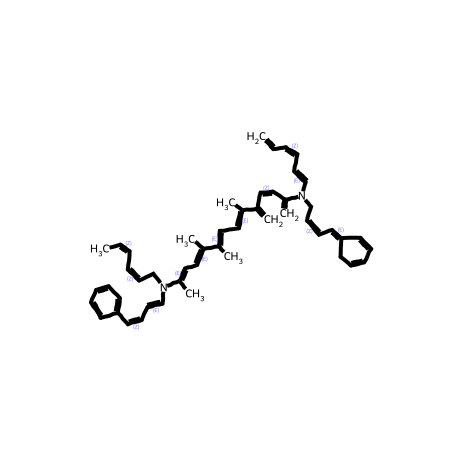 C=C/C=C\C=C\N(C/C=C\C=C1\C=CC=CC1)C(=C)/C=C\C(=C)/C(C)=C/C=C(C)/C(C)=C/C=C(\C)N(/C=C/C=C\c1ccccc1)C/C=C\C=C/C